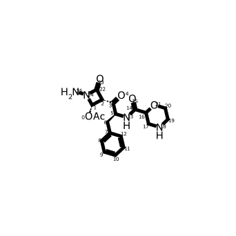 CC(=O)O[C@H]1[C@@H](C(=O)[C@H](Cc2ccccc2)NC(=O)C2CNCCO2)C(=O)N1N